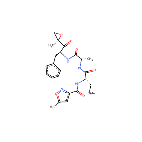 COC[C@H](NC(=O)c1cc(C)on1)C(=O)N[C@@H](C)C(=O)N[C@@H](Cc1ccccc1)C(=O)[C@@]1(C)CO1